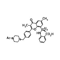 CC(=O)N1CCN(Cc2ccc(-c3oc4c([C@@H](C)Nc5ccccc5C(=O)O)cc(C)cc4c(=O)c3C)cc2)CC1